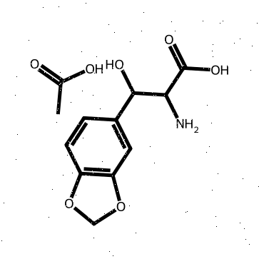 CC(=O)O.NC(C(=O)O)C(O)c1ccc2c(c1)OCO2